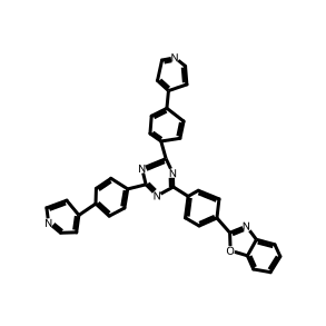 c1ccc2oc(-c3ccc(-c4nc(-c5ccc(-c6ccncc6)cc5)nc(-c5ccc(-c6ccncc6)cc5)n4)cc3)nc2c1